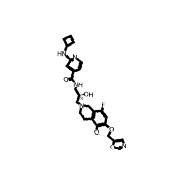 O=C(NC[C@H](O)CN1CCc2c(Cl)c(OCc3cnco3)cc(F)c2C1)c1ccnc(NC2CCC2)c1